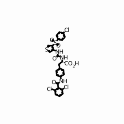 O=C(Nc1cscc1S(=O)(=O)c1ccc(Cl)cc1)N[C@@H](Cc1ccc(NC(=O)c2c(Cl)cccc2Cl)cc1)C(=O)O